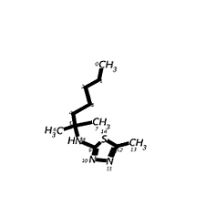 CCCCCC(C)(C)Nc1nnc(C)s1